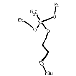 CCCCOCCO[Si](C)(OCC)OCC